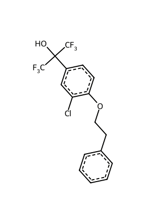 OC(c1ccc(OCCc2ccccc2)c(Cl)c1)(C(F)(F)F)C(F)(F)F